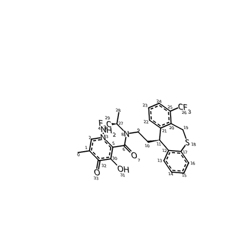 Cc1cn(N)c(C(=O)N(CC[C@@H]2c3ccccc3SCc3c2cccc3C(F)(F)F)[C@H](C)C(F)(F)F)c(O)c1=O